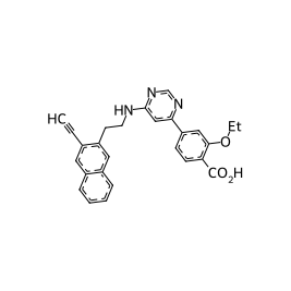 C#Cc1cc2ccccc2cc1CCNc1cc(-c2ccc(C(=O)O)c(OCC)c2)ncn1